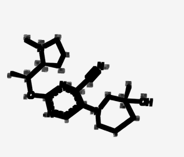 C[C@H](Oc1ncc(N2CCC[C@@](C)(O)C2)c(C#N)n1)[C@@H]1CCCN1C